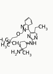 CCc1cnc(N[C@@H]2CCC[C@](C)(N)C2)nc1-c1c2ccccc2nn1COCC[Si](C)(C)C